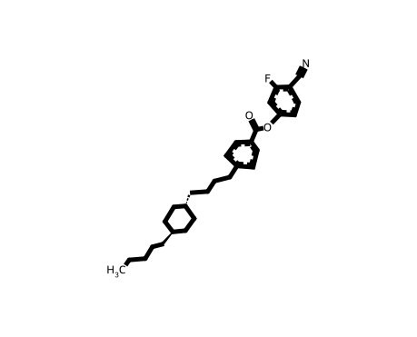 CCCCC[C@H]1CC[C@H](CCCCc2ccc(C(=O)Oc3ccc(C#N)c(F)c3)cc2)CC1